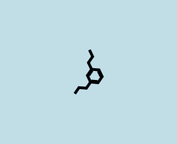 CCCc1cccc(CCC)c1